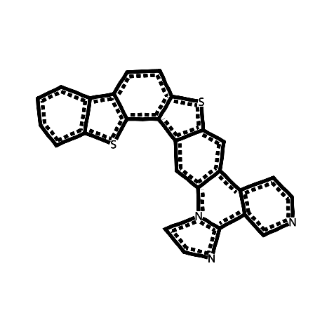 c1ccc2c(c1)sc1c2ccc2sc3cc4c5ccncc5c5nccn5c4cc3c21